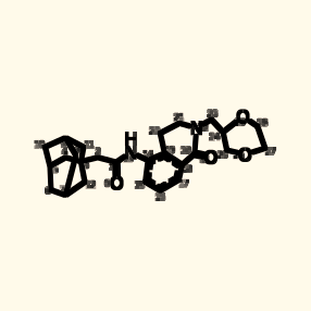 O=C(CC12CC3CC(CC(C3)C1)C2)Nc1cccc2c1CCN(CC1COCCO1)C2=O